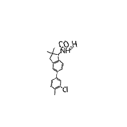 Cc1ccc(-c2ccc3c(c2)CC(C)(C)C3NC(=O)O)cc1Cl